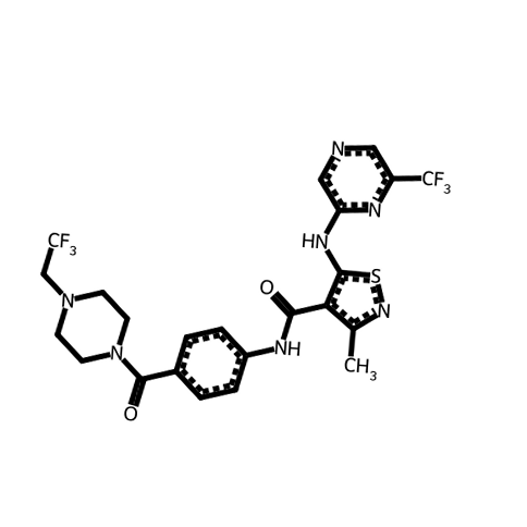 Cc1nsc(Nc2cncc(C(F)(F)F)n2)c1C(=O)Nc1ccc(C(=O)N2CCN(CC(F)(F)F)CC2)cc1